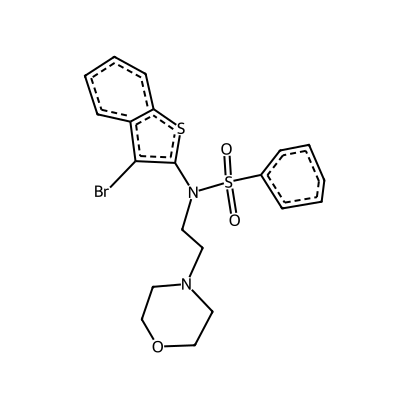 O=S(=O)(c1ccccc1)N(CCN1CCOCC1)c1sc2ccccc2c1Br